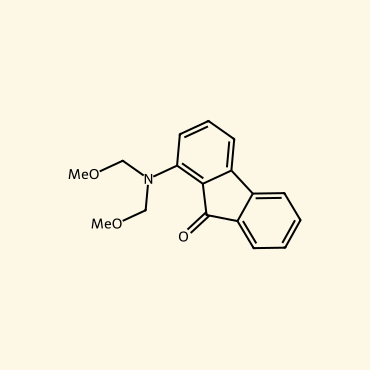 COCN(COC)c1cccc2c1C(=O)c1ccccc1-2